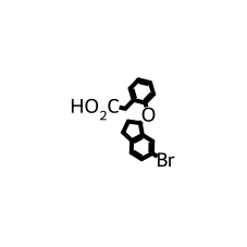 O=C(O)Cc1ccccc1OC1CCc2ccc(Br)cc21